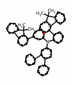 CC1(C)c2ccccc2-c2c(-c3ccccc3N(c3cccc(-c4cccc5c4C(C)(C)c4ccccc4-5)c3)c3ccc(-c4ccccc4)c(-c4ccccc4)c3)cccc21